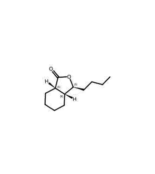 CCCC[C@@H]1OC(=O)[C@H]2CCCC[C@@H]12